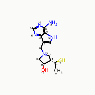 CC(S)[C@H]1CN(Cc2c[nH]c3c(N)ncnc23)C[C@@H]1O